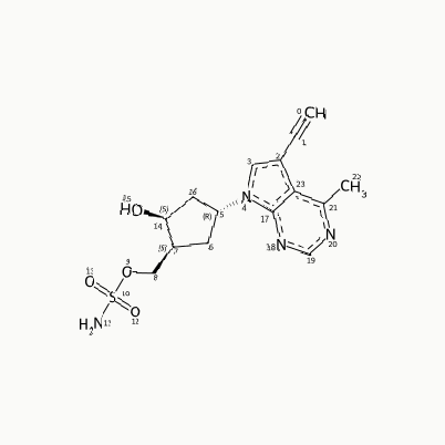 C#Cc1cn([C@@H]2C[C@@H](COS(N)(=O)=O)[C@@H](O)C2)c2ncnc(C)c12